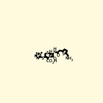 Cn1nnnc1SC1=C(C(=O)O)N2C(=O)[C@@H](NC(=O)Cc3ccc(CN)s3)[C@@H]2SC1